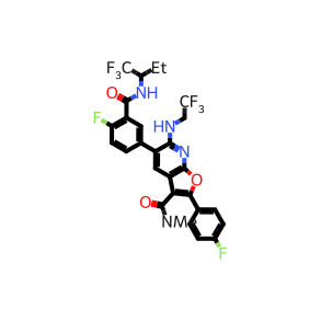 CCC(NC(=O)c1cc(-c2cc3c(C(=O)NC)c(-c4ccc(F)cc4)oc3nc2NCC(F)(F)F)ccc1F)C(F)(F)F